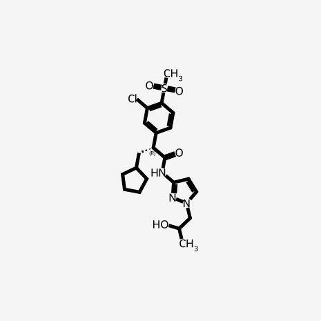 CC(O)Cn1ccc(NC(=O)[C@H](CC2CCCC2)c2ccc(S(C)(=O)=O)c(Cl)c2)n1